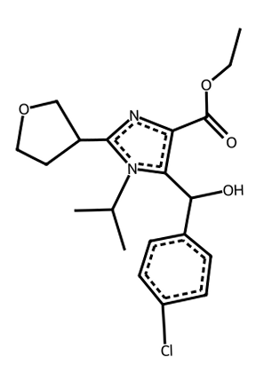 CCOC(=O)c1nc(C2CCOC2)n(C(C)C)c1C(O)c1ccc(Cl)cc1